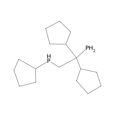 PC(CPC1CCCC1)(C1CCCC1)C1CCCC1